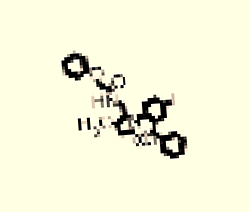 Cc1cc(C)n(-c2ccc(F)cc2C(=O)c2ccccc2)c1CNC(=O)COc1ccccc1